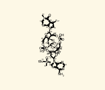 CC(C)[Si](O)(O[Si](O[C@H]1[C@H]2OP(=O)(O)OCC[C@H]3O[C@@H](n4cnc5c(N)ncnc54)[C@H](O[Si](C)(C)C(C)(C)C)[C@@H]3OP(=O)(S)OC[C@@H]1O[C@H]2n1cc(F)c2c(=O)n(C)cnc21)(C(C)C)C(C)C)C(C)C